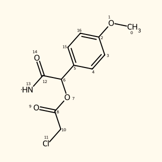 COc1ccc(C(OC(=O)CCl)C([NH])=O)cc1